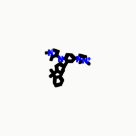 CC1C(n2c3ccc(-n4cc[n+](C)c4)cc3c3cc4c(cc32)C(C)(C)c2ccccc2-4)=CC=[N+]1C